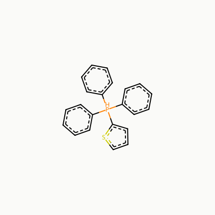 c1ccc([PH](c2ccccc2)(c2ccccc2)c2cccs2)cc1